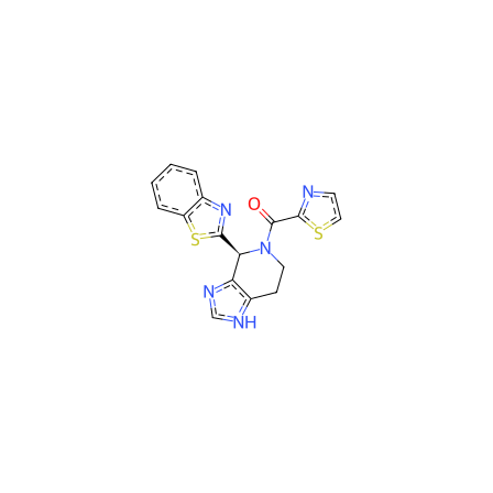 O=C(c1nccs1)N1CCc2[nH]cnc2[C@H]1c1nc2ccccc2s1